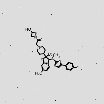 CCC1(C2CCN(CC(=O)N3CC(O)C3)CC2)N=C2C=C(C)C=CN2C1N(C)c1nc(-c2ccc(F)cc2)cs1